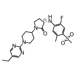 CCc1cnc(N2CCC(N3CC[C@H](Nc4cc(C)c(S(C)(=O)=O)cc4F)C3=O)CC2)nc1